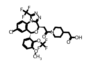 COc1cccc([C@H]2O[C@H](CC(=O)N3CCC(CC(=O)O)CC3)c3nnc(C(F)(F)F)n3-c3ccc(Cl)cc32)c1OC(F)(F)F